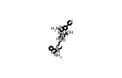 CCc1nc2c(N)nc3ccccc3c2n1CCCCNS(=O)(=O)CC(n1c(CC)nc2c(N)nc3cc(-c4ccncc4)ccc3c21)C(C)(C)O